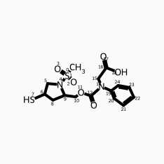 CS(=O)(=O)N1CC(S)CC1COC(=O)N(CC(=O)O)c1ccccc1